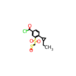 CCC1CC1c1ccc(C(=O)Cl)cc1S(=O)(=O)C=S=O